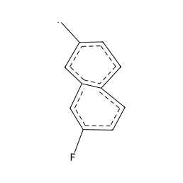 [CH2]c1ccc2ccc(F)cc2c1